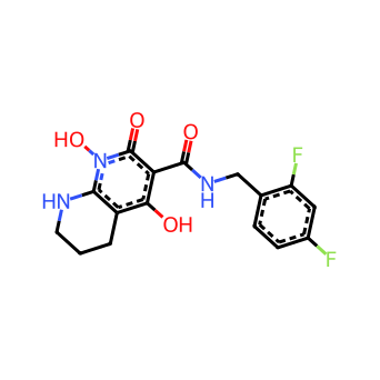 O=C(NCc1ccc(F)cc1F)c1c(O)c2c(n(O)c1=O)NCCC2